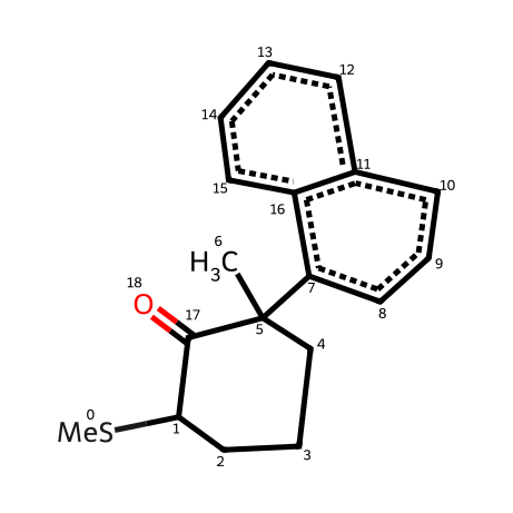 CSC1CCCC(C)(c2cccc3ccccc23)C1=O